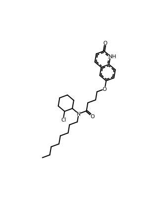 CCCCCCCCN(C(=O)CCCOc1ccc2[nH]c(=O)ccc2c1)C1CCCCC1Cl